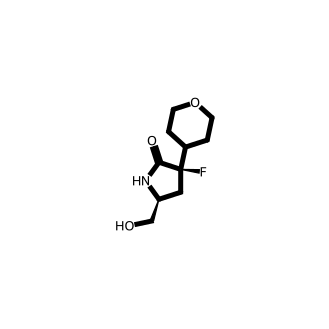 O=C1N[C@H](CO)C[C@@]1(F)C1CCOCC1